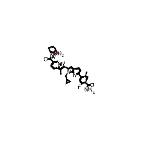 Cc1cc(C(N)=O)c(F)cc1-c1ccc2cc(-c3nn4cc(C(=O)N5CC6CCC5[C@@H]6N)ccc4c3C)n(CC3CC3)c2n1